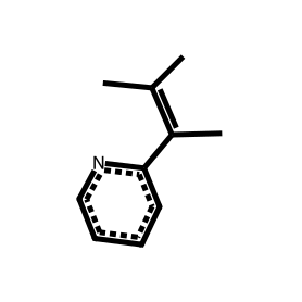 CC(C)=C(C)c1ccccn1